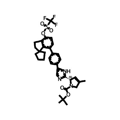 CC1=C[C@@H](c2ncc(-c3ccc(-c4ccc(OS(=O)(=O)C(F)(F)F)c5c4C4(CCCC4)CC5)cc3)[nH]2)N(C(=O)OC(C)(C)C)C1